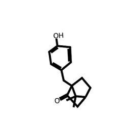 CC1(C)C2CCC1(Cc1ccc(O)cc1)C(=O)C2